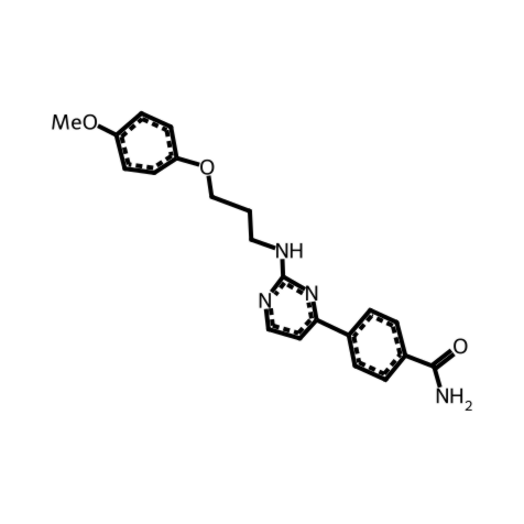 COc1ccc(OCCCNc2nccc(-c3ccc(C(N)=O)cc3)n2)cc1